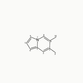 Cc1cc2cccn2cc1C